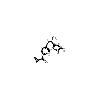 C[C@@H](Oc1ccc(C(=O)C2CC2)nc1)c1cc(Cl)ns1